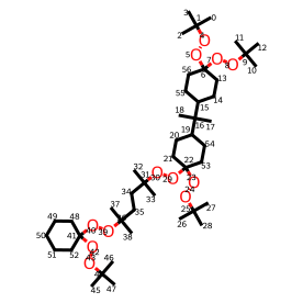 CC(C)(C)OOC1(OOC(C)(C)C)CCC(C(C)(C)C2CCC(OOC(C)(C)C)(OOC(C)(C)CCC(C)(C)OOC3(OOC(C)(C)C)CCCCC3)CC2)CC1